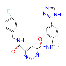 C[C@H](NC(=O)c1cc(C(=O)NCc2ccc(F)cc2)ncn1)c1ccc(-c2nnc[nH]2)cc1